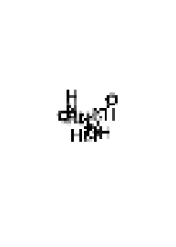 Cl.O=C(O)C[C@H](Cc1c[nH]c2ccccc12)NCCNCCc1ccccc1